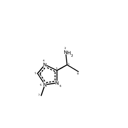 CC(N)c1ncn(C)n1